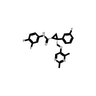 Cc1ncc(OC[C@@]2(c3cccc(F)c3)C[C@H]2C(=O)Nc2ccc(F)c(F)c2)c(C)n1